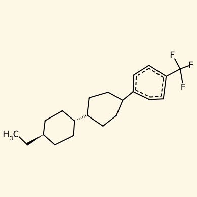 CC[C@H]1CC[C@H](C2CCC(c3ccc(C(F)(F)F)cc3)CC2)CC1